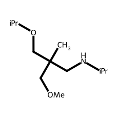 COCC(C)(CNC(C)C)COC(C)C